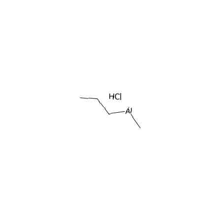 CC[CH2][Al][CH3].Cl